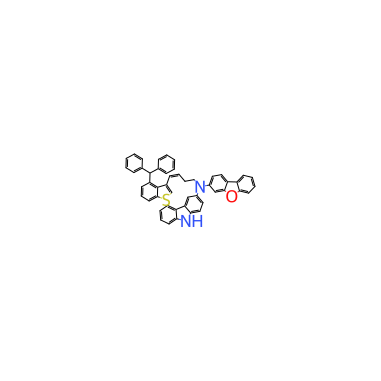 C(=C/c1csc2cccc(C(c3ccccc3)c3ccccc3)c12)/CCN(c1ccc2c(c1)oc1ccccc12)c1ccc2[nH]c3ccccc3c2c1